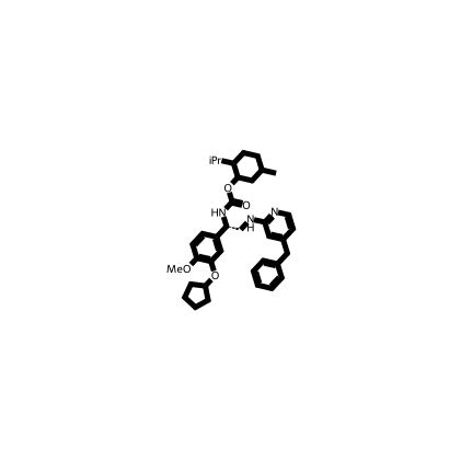 COc1ccc([C@@H](CNc2cc(Cc3ccccc3)ccn2)NC(=O)OC2CC(C)CCC2C(C)C)cc1OC1CCCC1